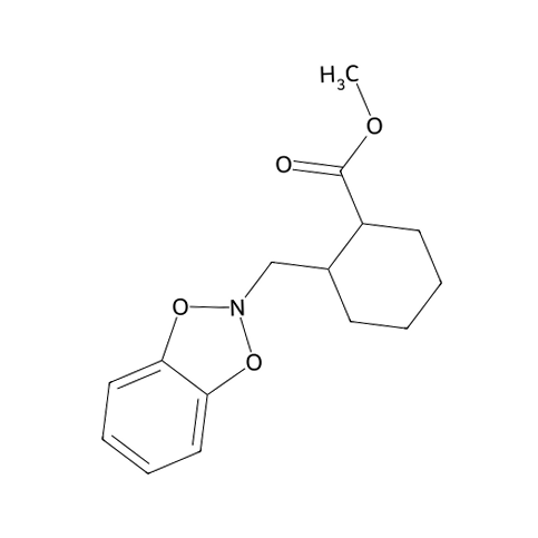 COC(=O)C1CCCCC1CN1Oc2ccccc2O1